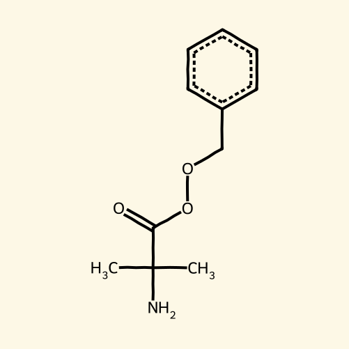 CC(C)(N)C(=O)OOCc1ccccc1